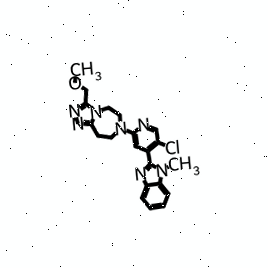 COCc1nnc2n1CCN(c1cc(-c3nc4ccccc4n3C)c(Cl)cn1)CC2